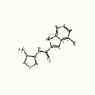 NC1COCC1NC(=O)c1cc2c(Br)ccnc2[nH]1